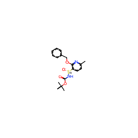 Cc1ccc([S@@+]([O-])NC(=O)OC(C)(C)C)c(OCc2ccccc2)n1